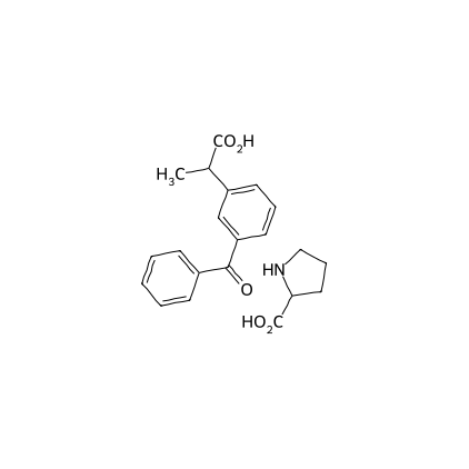 CC(C(=O)O)c1cccc(C(=O)c2ccccc2)c1.O=C(O)C1CCCN1